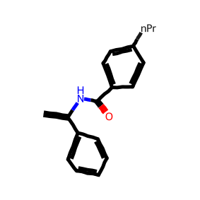 C=C(NC(=O)c1ccc(CCC)cc1)c1ccccc1